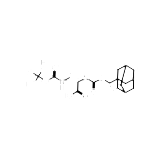 CC(C)(C)OC(=O)NC[C@H](NC(=O)OCC12CC3CC(CC(C3)C1)C2)C(=O)O